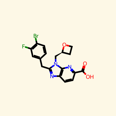 O=C(O)c1ccc2nc(Cc3ccc(Br)c(F)c3)n(C[C@@H]3CCO3)c2n1